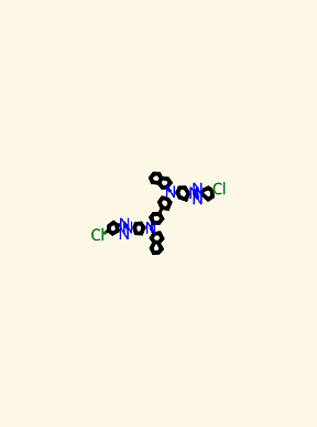 Clc1ccc2nn(-c3ccc(N(c4ccc(-c5ccc(N(c6ccc(-n7nc8ccc(Cl)cc8n7)cc6)c6ccc7ccccc7c6)cc5)cc4)c4ccc5ccccc5c4)cc3)nc2c1